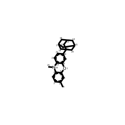 Cc1ccc2c(c1)Oc1cc(C34CC5CC(CC(C5)C3)C4)ccc1N2C